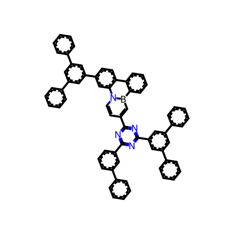 C1=CN2B(C=C1c1nc(-c3cccc(-c4ccccc4)c3)nc(-c3cc(-c4ccccc4)cc(-c4ccccc4)c3)n1)c1ccccc1-c1ccc(-c3cc(-c4ccccc4)cc(-c4ccccc4)c3)cc12